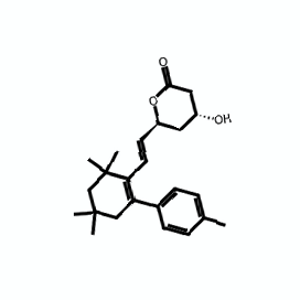 Cc1ccc(C2=C(/C=C/[C@@H]3C[C@@H](O)CC(=O)O3)C(C)(C)CC(C)(C)C2)cc1